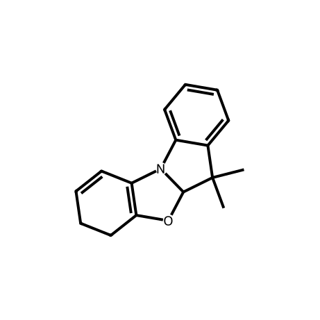 CC1(C)c2ccccc2N2C3=C(CCC=C3)OC21